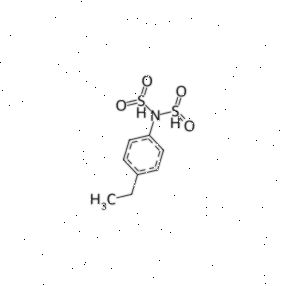 CCc1ccc(N([SH](=O)=O)[SH](=O)=O)cc1